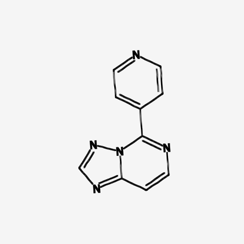 c1cc(-c2nccc3ncnn23)ccn1